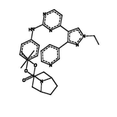 CCn1cc(-c2ccnc(Nc3ccc(OC4CC5CCC(C4)N5C(=O)OC(C)(C)C)cc3)n2)c(-c2cccnc2)n1